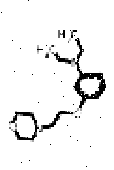 CCN(CC)c1cc[c]c(OCCN2CCOCC2)c1